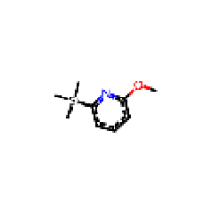 COc1cccc([Si](C)(C)C)n1